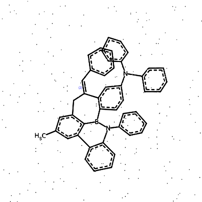 Cc1cc2c3c(c1)-c1ccccc1N(c1ccccc1)B3c1ccc(N(c3ccccc3)c3ccccc3)cc1/C(=C\c1ccccc1)C2